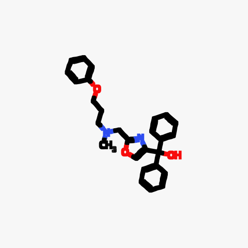 CN(CCCOc1ccccc1)Cc1nc(C(O)(c2ccccc2)c2ccccc2)co1